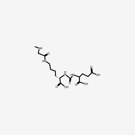 CNCC(=O)NCCCC[C@H](NC(=O)NC(CCC(=O)O)C(=O)O)C(=O)O